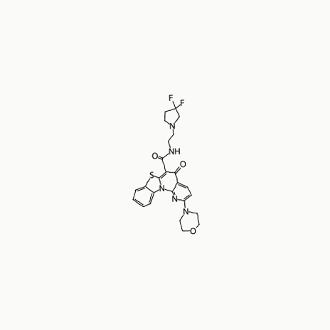 O=C(NCCN1CCC(F)(F)C1)c1c(=O)c2ccc(N3CCOCC3)nc2n2c1sc1ccccc12